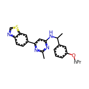 CCCOc1cccc(C(C)Nc2cc(-c3ccc4ncsc4c3)nc(C)n2)c1